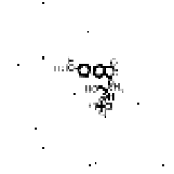 CC(O)CO.Cl.O=C1OC(=O)c2ccccc21.Oc1ccccc1.[Cl][Al-]([Cl])([Cl])[Cl]